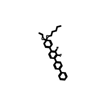 CCCCCOC1(OCC)C=CC(c2ccc(-c3ccc(-c4ccccc4)cc3)c(F)c2F)=CC1